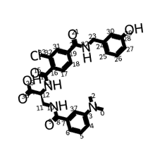 CN(C)c1cccc(C(=O)NC[C@H](NC(=O)c2ccc(C(=O)NCc3cccc(O)c3)cc2Cl)C(=O)O)c1